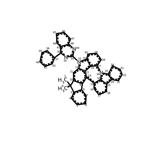 CC1(C)c2ccccc2-c2c1cc1c3c2c2cccc4c5ccccc5n(c5cccc(c35)n1-c1nc(-c3ccccc3)c3ccccc3n1)c42